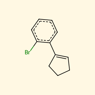 Brc1ccccc1C1=CCCC1